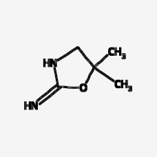 CC1(C)CNC(=N)O1